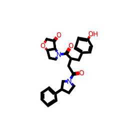 O=C1COC2CCN(C(=O)C(CC(=O)N3CCC(c4ccccc4)C3)Cc3ccc(O)cc3)C12